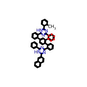 CC1C=CC=CC1C1=NC(c2ccccc2)=NC(c2ccccc2-c2ccc(-c3ccccc3C3=NC(c4ccc5ccccc5c4)NC(c4ccccc4)=N3)c(-c3ccccc3)c2)N1